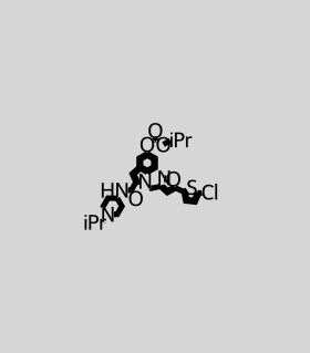 CC(C)OC(=O)Oc1ccc2c(c1)cc(C(=O)NC1CCN(C(C)C)CC1)n2Cc1cc(-c2ccc(Cl)s2)on1